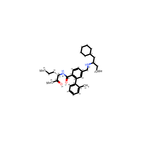 COCC(CC1CCCCC1)NCc1ccc(C(=O)N[C@@H](CCSC)C(=O)OC)c(-c2ccccc2C)c1